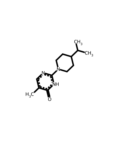 Cc1cnc(N2CCC(C(C)C)CC2)[nH]c1=O